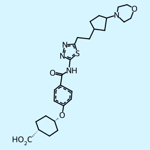 O=C(Nc1nnc(CCC2CCC(N3CCOCC3)C2)s1)c1ccc(O[C@H]2CC[C@@H](C(=O)O)CC2)cc1